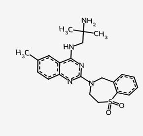 Cc1ccc2nc(N3CCS(=O)(=O)c4ccccc4C3)nc(NCC(C)(C)N)c2c1